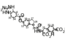 N=C(N)Nc1ccc(C(=O)Oc2ccc3c(c2)CCC3CC(=O)N[C@@H](Cc2ccc(C(=O)O)cc2)C(=O)O)cc1